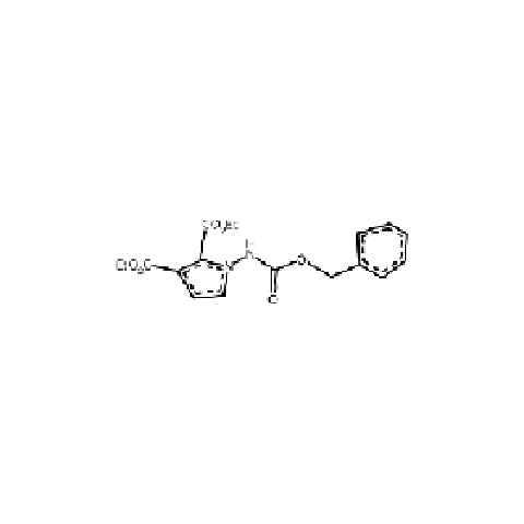 CCOC(=O)c1ccn(NC(=O)OCc2ccccc2)c1C(=O)OCC